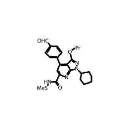 CSNC(=O)c1cc(-c2ccc(C=O)cc2)c2c(OC(C)C)nn(C3CCCCC3)c2n1